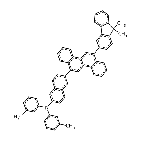 Cc1cccc(N(c2cccc(C)c2)c2ccc3cc(-c4cc5c6ccccc6c(-c6ccc7c(c6)-c6ccccc6C7(C)C)cc5c5ccccc45)ccc3c2)c1